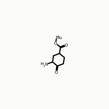 CC(C)(C)OC(=O)C1CCC(=O)C(N)C1